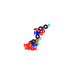 CCOc1ccn(-c2ccc(F)cc2)c(=O)c1C(=O)Nc1ccc(Oc2ccnc(NC(P(O)O)P(O)O)c2Cl)c(F)c1